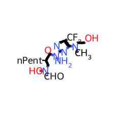 CCCCC[C@H](CN(O)C=O)C(=O)N(N)c1ncc(C(F)(F)F)c(N(C)CCO)n1